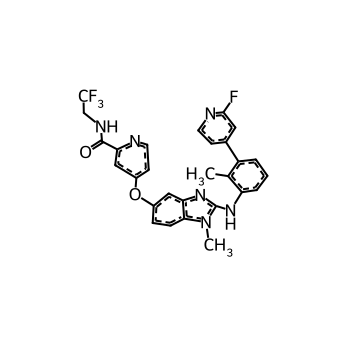 Cc1c(Nc2nc3cc(Oc4ccnc(C(=O)NCC(F)(F)F)c4)ccc3n2C)cccc1-c1ccnc(F)c1